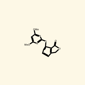 COc1cc(OC)nc(Sc2cccc3c2C(=O)OC3)n1